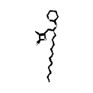 CCCCCCCCCCC[C@@H](CC1=C(C)C(=O)O1)OC1CCCCO1